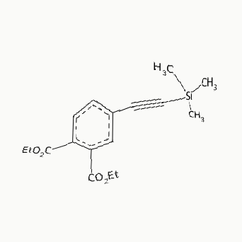 CCOC(=O)c1ccc(C#C[Si](C)(C)C)cc1C(=O)OCC